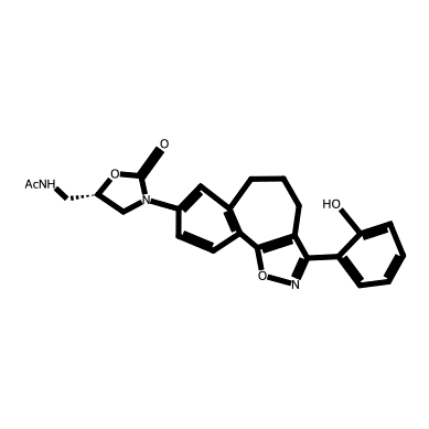 CC(=O)NC[C@H]1CN(c2ccc3c(c2)CCCc2c(-c4ccccc4O)noc2-3)C(=O)O1